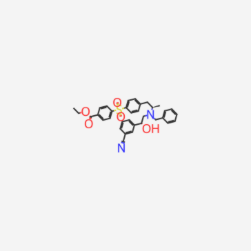 CCOC(=O)c1ccc(S(=O)(=O)c2ccc(C[C@@H](C)N(Cc3ccccc3)C[C@@H](O)c3cccc(C#N)c3)cc2)cc1